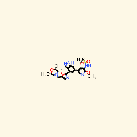 COc1ncc(-c2cc(-c3ncc(CN4C[C@@H](C)O[C@H](C)C4)o3)c3cn[nH]c3c2)cc1NS(C)(=O)=O